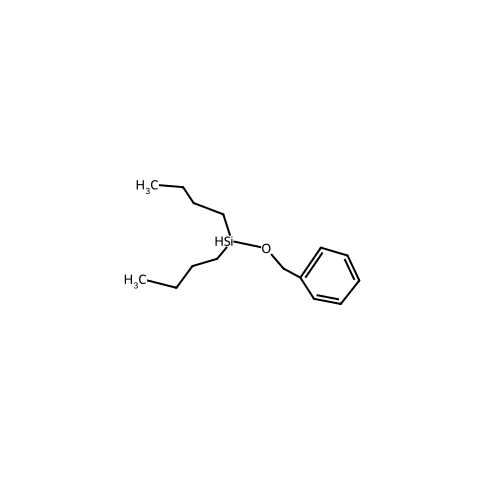 CCCC[SiH](CCCC)OCc1ccccc1